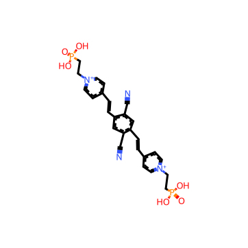 N#Cc1cc(/C=C/c2cc[n+](CCP(=O)(O)O)cc2)c(C#N)cc1/C=C/c1cc[n+](CCP(=O)(O)O)cc1